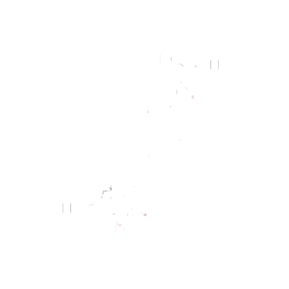 C=C(C)C(=O)OC1CCC(C2CCC(OC3OC3C(=C)C)CC2)CC1